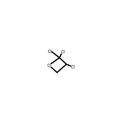 ClC1COC1(Cl)Cl